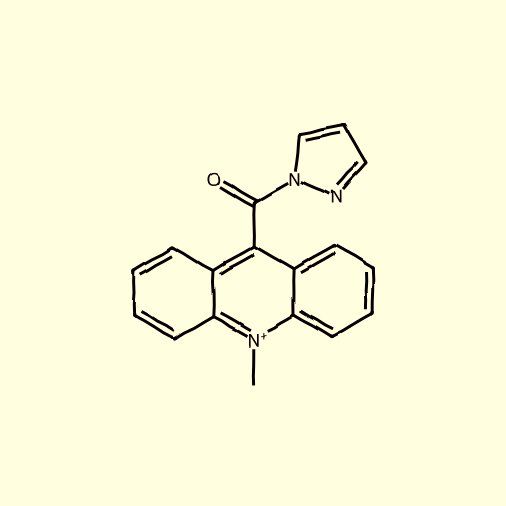 C[n+]1c2ccccc2c(C(=O)n2cccn2)c2ccccc21